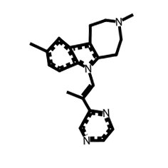 C/C(=C\n1c2c(c3cc(C)ccc31)CCN(C)CC2)c1cnccn1